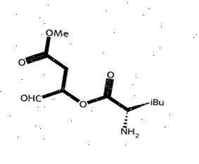 CC[C@H](C)[C@H](N)C(=O)OC(C=O)CC(=O)OC